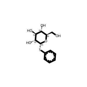 OC[C@H]1O[C@H](Sc2ccccc2)[C@H](O)[C@@H](O)[C@@H]1O